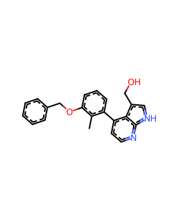 Cc1c(OCc2ccccc2)cccc1-c1ccnc2[nH]cc(CO)c12